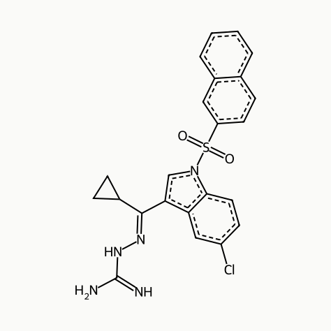 N=C(N)NN=C(c1cn(S(=O)(=O)c2ccc3ccccc3c2)c2ccc(Cl)cc12)C1CC1